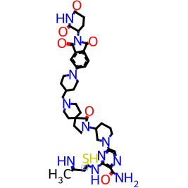 CC(=N)/C=C(\S)Nc1nc(N2CCCC(N3CCC4(CCN(CC5CCN(c6ccc7c(c6)C(=O)N(C6CCC(=O)NC6=O)C7=O)CC5)CC4)C3=O)C2)cnc1C(N)=O